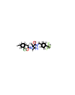 Cc1ccc(CC(=O)N2CCC2(C)C(=O)NCc2ccc(C(F)(F)F)cc2)c(Cl)c1